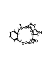 CN1Cc2ccccc2SCCNC(=O)C2=C3N=C1C=CN3NC2